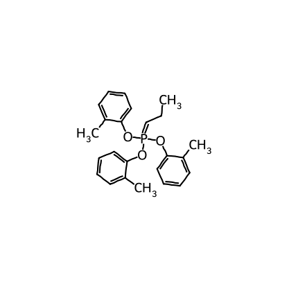 CCC=P(Oc1ccccc1C)(Oc1ccccc1C)Oc1ccccc1C